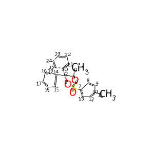 CCC(OS(=O)(=O)c1ccc(C)cc1)(c1ccccc1)c1ccccc1